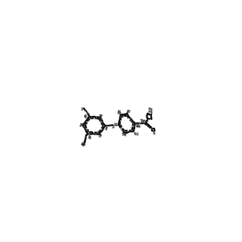 Cc1cc(C)cc(C)c1.O=C(Cl)c1ccccc1